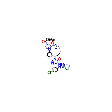 COC(=O)N1CCN2c3cccc(c3)C(n3cnc(-c4cc(Cl)ccc4N(N)/C=C(\N)Cl)cc3=O)CCCCCNC(=O)C2C1